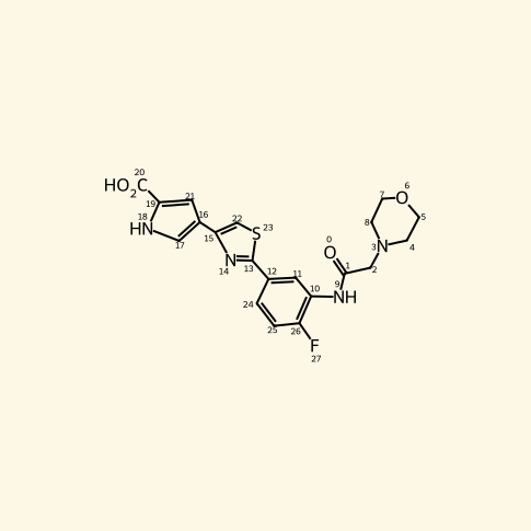 O=C(CN1CCOCC1)Nc1cc(-c2nc(-c3c[nH]c(C(=O)O)c3)cs2)ccc1F